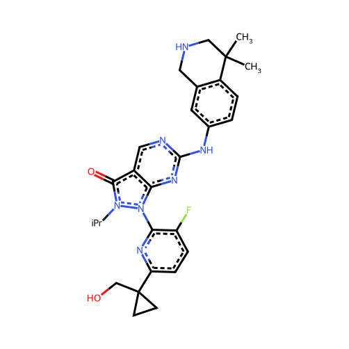 CC(C)n1c(=O)c2cnc(Nc3ccc4c(c3)CNCC4(C)C)nc2n1-c1nc(C2(CO)CC2)ccc1F